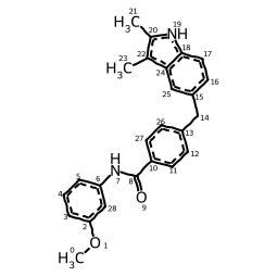 COc1cccc(NC(=O)c2ccc(Cc3ccc4[nH]c(C)c(C)c4c3)cc2)c1